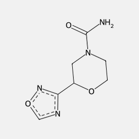 NC(=O)N1CCOC(c2ncon2)C1